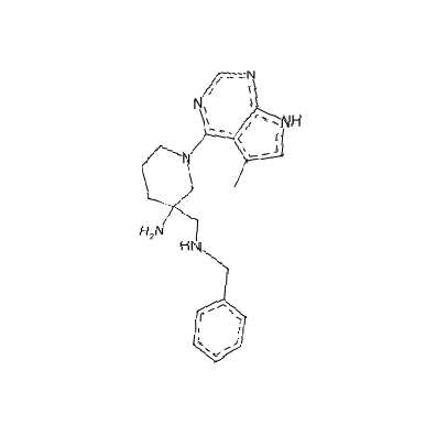 Cc1c[nH]c2ncnc(N3CCCC(N)(CNCc4ccccc4)C3)c12